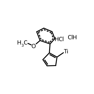 COc1ccccc1C1=[C]([Ti])CC=C1.Cl.Cl